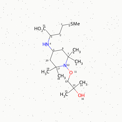 CSCCC(NC1CC(C)(C)N(OCC(C)(C)O)C(C)(C)C1)C(=O)O